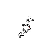 Nc1nc2c(ncn2[C@@H]2O[C@@H]3CO[PH](=O)O[C@H]4[C@@H](O)[C@H](n5ccc6c(N)ncnc65)O[C@@H]4CO[PH](=O)O[C@@H]2C3)c(=O)[nH]1